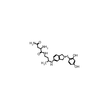 CC(CCNC(=O)C(N)CC(N)=O)Nc1ccc2c(c1)CN(Sc1ccc(O)cc1O)C2